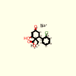 CCC1(C(=O)[O-])C(O)=CC(=O)CC1c1ccccc1Cl.[Na+]